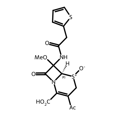 COC1(NC(=O)Cc2cccs2)C(=O)N2C(C(=O)O)=C(C(C)=O)C[S+]([O-])[C@@H]21